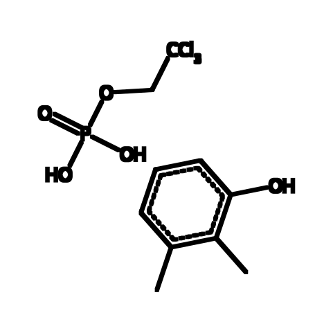 Cc1cccc(O)c1C.O=P(O)(O)OCC(Cl)(Cl)Cl